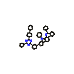 c1ccc(-c2ccc(-c3nc(-c4ccccc4)nc(-c4cccc(-c5ccc6c7ccc8c9ccccc9c(-c9ccccc9)nc8c7n(-c7ccccc7)c6c5)c4)n3)cc2)cc1